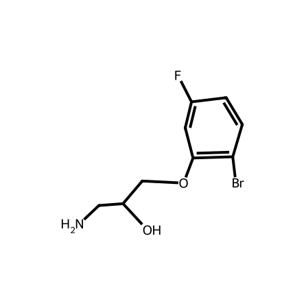 NCC(O)COc1cc(F)ccc1Br